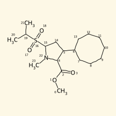 COC(=O)C1C(C2CCCCCCC2)CC(S(=O)(=O)C(C)C)N1C